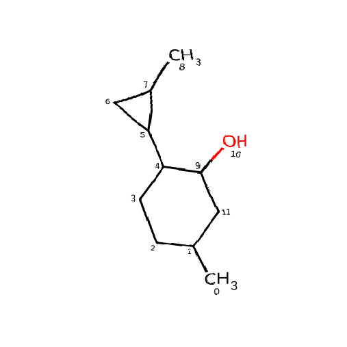 CC1CCC(C2CC2C)C(O)C1